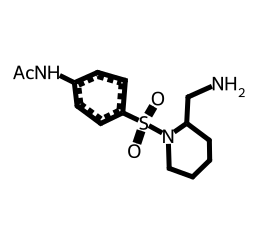 CC(=O)Nc1ccc(S(=O)(=O)N2CCCCC2CN)cc1